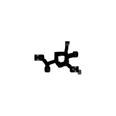 Cn1cc(C(=O)O)cc(F)c1=O